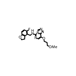 COCCCOc1cnc(NCc2c(F)ccc3c2CCO3)n2cnnc12